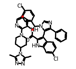 Cc1nnc(C)n1C1CCN(c2ncccc2NC(=O)c2[nH]c3cc(Cl)ccc3c2-c2c(-c3ccccc3)ncn2[C@@H](C)c2ccc(Cl)cc2)CC1